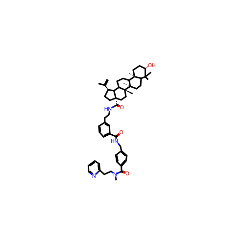 C=C(C)[C@@H]1CC[C@]2(C(=O)NCCc3cccc(C(=O)NCc4ccc(C(=O)N(C)CCc5ccccn5)cc4)c3)CC[C@]3(C)C(CCC4[C@@]5(C)CC[C@H](O)C(C)(C)C5CC[C@]43C)C12